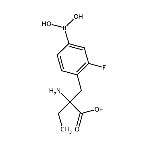 CCC(N)(Cc1ccc(B(O)O)cc1F)C(=O)O